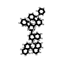 c1ccc(-n2c3ccccc3c3c(-c4nc(-c5ccc(N6c7ccc8ccccc8c7-c7cccc8cccc6c78)c6ccccc56)nc5c4sc4ccccc45)cccc32)cc1